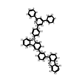 c1ccc(-c2cc(-c3ccccc3)nc(-c3ccc(-n4c5ccccc5c5cc(-c6cccc(-c7cccc8c7sc7ccccc78)c6)ccc54)cc3)c2)cc1